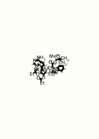 CCC(=O)O[C@H]1[C@@H](OC(=O)CC)[C@](C#N)(c2ccc3c(N)ncnn23)O[C@@H]1CO[P@@](=O)(N[C@@H](C)C(=O)OCC(C)(C)OC)Oc1ccccc1